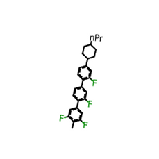 CCCC1CCC(c2ccc(-c3ccc(-c4cc(F)c(C)c(F)c4)c(F)c3)c(F)c2)CC1